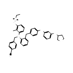 CCS(=O)(=O)Nc1cccc(N(Cc2ccc(C#N)cc2)c2ccccc2Cc2ccc(Oc3cccc(OC4CCOC4)c3)cc2)c1C